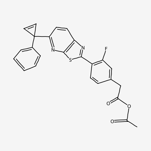 CC(=O)OC(=O)Cc1ccc(-c2nc3ccc(C4(c5ccccc5)C=C4)nc3s2)c(F)c1